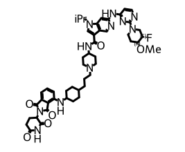 CO[C@@H]1CCN(c2nccc(Nc3cc4c(cn3)c(C(=O)NC3CCN(CCCC5CCC(Nc6cccc7c6C(=O)N(C6CCC(=O)NC6=O)C7=O)CC5)CC3)cn4C(C)C)n2)C[C@@H]1F